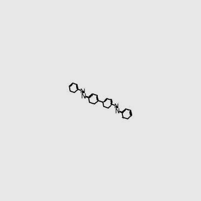 C1=CCCC(/N=N/C2=CC=C(C3=CC=C(/N=N/C4=CC=CCC4)CC3)CC2)=C1